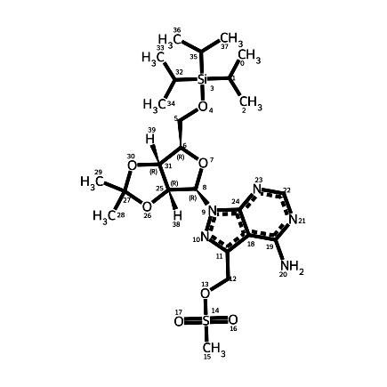 CC(C)[Si](OC[C@H]1O[C@@H](n2nc(COS(C)(=O)=O)c3c(N)ncnc32)[C@@H]2OC(C)(C)O[C@@H]21)(C(C)C)C(C)C